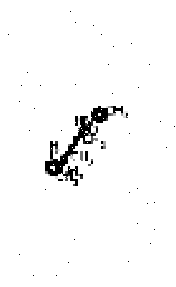 CC1=C(/C=C/C(C)=C/C=C/C(C)=C/C(=O)Nc2ccc(C)cc2)C(C)(C)CCC1